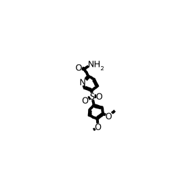 COc1ccc(S(=O)(=O)c2ccc(C(N)=O)nc2)cc1OC